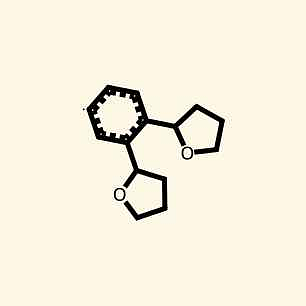 [c]1ccc(C2CCCO2)c(C2CCCO2)c1